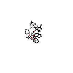 C[C@@H](CN1CCOCC1)Oc1nc(N2C3CCC2CN(C(=O)OC(C)(C)C)C3)c2c3c(c(-c4ncc(F)c5sc(NC(=O)OC(C)(C)C)c(C#N)c45)c(F)c2n1)COC3